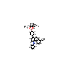 CC1(C)OB(c2ccc(-c3ccc4c5c3ccc3c(C#N)ccc(c35)n4-c3ccccc3)cc2)OC1(C)C